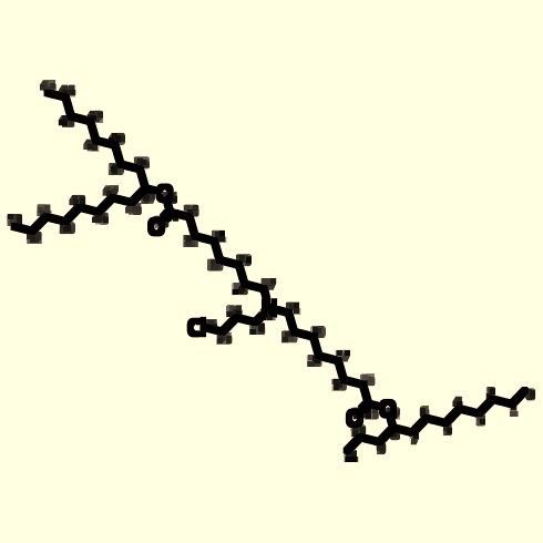 CCCCCCCCC(CCC)OC(=O)CCCCCCCN(CCCCl)CCCCCCCC(=O)OC(CCCCCCCC)CCCCCCCC